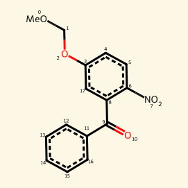 COCOc1ccc([N+](=O)[O-])c(C(=O)c2ccccc2)c1